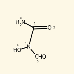 NC(=O)N(O)C=O